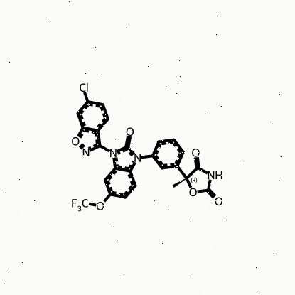 C[C@]1(c2cccc(-n3c(=O)n(-c4noc5cc(Cl)ccc45)c4cc(OC(F)(F)F)ccc43)c2)OC(=O)NC1=O